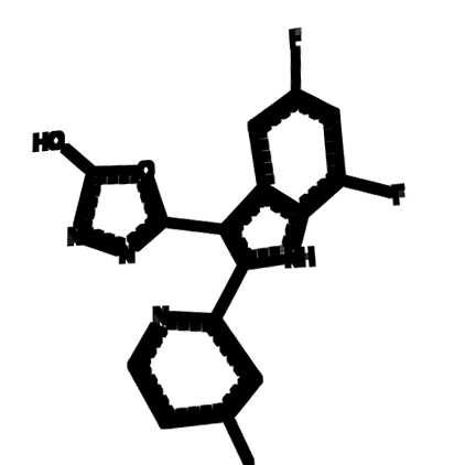 Cc1ccnc(-c2[nH]c3c(F)cc(F)cc3c2-c2nnc(O)o2)c1